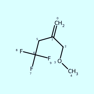 C=C(COC)CC(F)(F)F